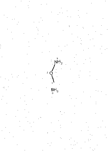 B.CON